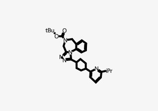 CC(C)c1cccc(C2CCC(c3nnc4n3-c3ccccc3CN(C(=O)OC(C)(C)C)C4)CC2)n1